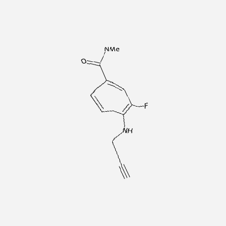 C#CCNc1ccc(C(=O)NC)cc1F